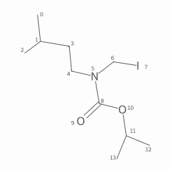 CC(C)CCN(CI)C(=O)OC(C)C